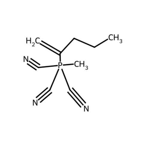 C=C(CCC)P(C)(C#N)(C#N)C#N